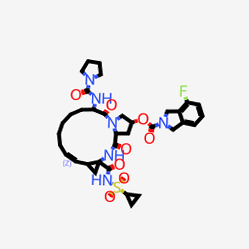 O=C1NC2(C(=O)NS(=O)(=O)C3CC3)CC2/C=C\CCCCCC(NC(=O)N2CCCC2)C(=O)N2CC(OC(=O)N3Cc4cccc(F)c4C3)CC12